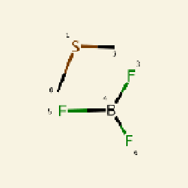 CSC.FB(F)F